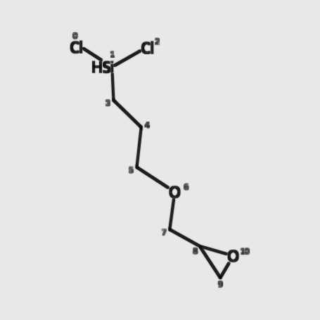 Cl[SiH](Cl)CCCOCC1CO1